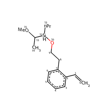 C=Cc1ccccc1CCO[SiH](CCC)C(C)OC